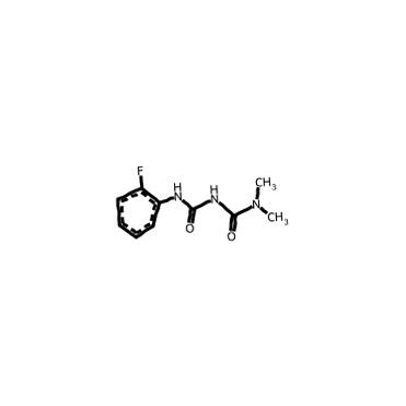 CN(C)C(=O)NC(=O)Nc1ccccc1F